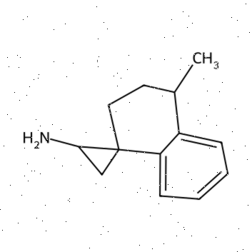 CC1CCC2(CC2N)c2ccccc21